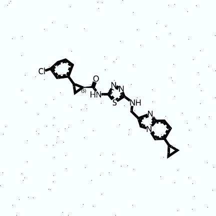 O=C(Nc1nnc(NCc2cn3cc(C4CC4)ccc3n2)s1)[C@H]1CC1c1cccc(Cl)c1